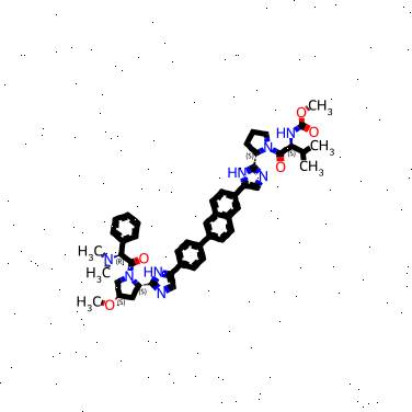 COC(=O)N[C@H](C(=O)N1CCC[C@H]1c1ncc(-c2ccc3cc(-c4ccc(-c5cnc([C@@H]6C[C@H](OC)CN6C(=O)[C@@H](c6ccccc6)N(C)C)[nH]5)cc4)ccc3c2)[nH]1)C(C)C